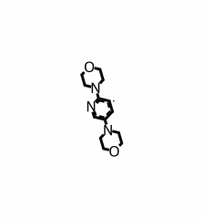 [c]1cc(N2CCOCC2)cnc1N1CCOCC1